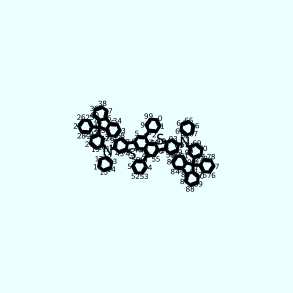 c1ccc(-c2cc3c4ccc(N(c5ccccc5)c5cccc(C6(c7ccccc7)c7ccccc7-c7ccccc76)c5)cc4sc3c3c(-c4ccccc4)cc4c5ccc(N(c6ccccc6)c6cccc(C7(c8ccccc8)c8ccccc8-c8ccccc87)c6)cc5sc4c23)cc1